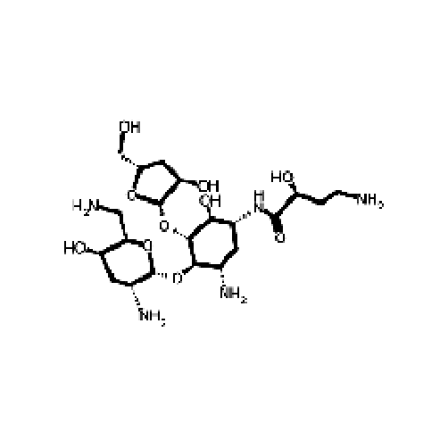 NCC[C@H](O)C(=O)N[C@@H]1C[C@H](N)[C@@H](O[C@H]2O[C@H](CN)[C@H](O)C[C@H]2N)[C@H](O[C@@H]2O[C@H](CO)C[C@H]2O)[C@H]1O